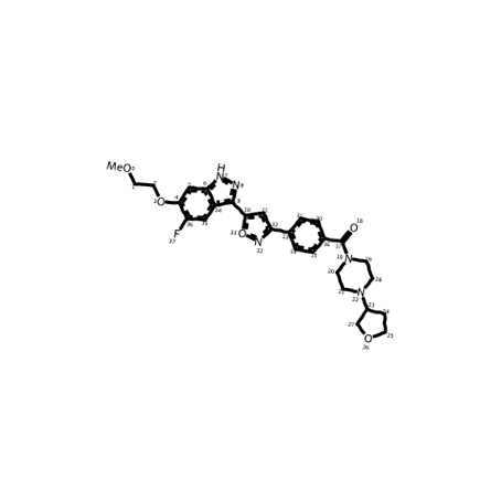 COCCOc1cc2[nH]nc(-c3cc(-c4ccc(C(=O)N5CCN(C6CCOC6)CC5)cc4)no3)c2cc1F